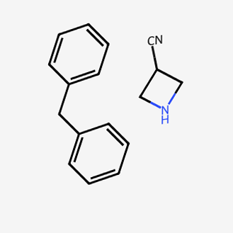 N#CC1CNC1.c1ccc(Cc2ccccc2)cc1